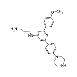 COc1ccc(-c2cc(NCCCN)cc(-c3ccc(N4CCNCC4)cc3)n2)cc1